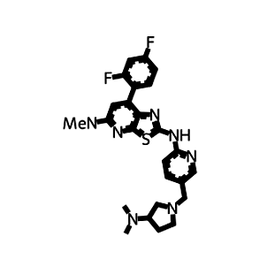 CNc1cc(-c2ccc(F)cc2F)c2nc(Nc3ccc(CN4CCC(N(C)C)C4)cn3)sc2n1